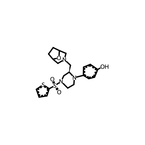 O=S(=O)(c1cccs1)N1CCN(c2ccc(O)cc2)[C@H](CN2CC3CCC(C2)O3)C1